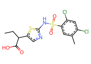 CCC(C(=O)O)c1cnc(NS(=O)(=O)c2cc(C)c(Cl)cc2Cl)s1